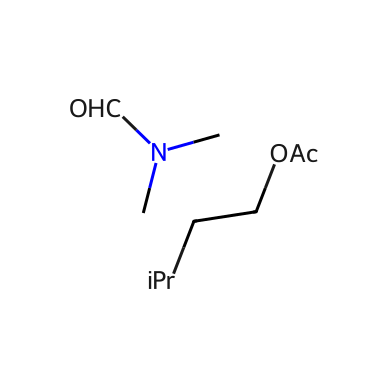 CC(=O)OCCC(C)C.CN(C)C=O